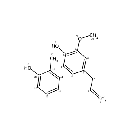 C=CCc1ccc(O)c(OC)c1.Cc1ccccc1O